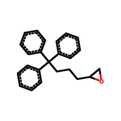 c1ccc(C(CCCC2CO2)(c2ccccc2)c2ccccc2)cc1